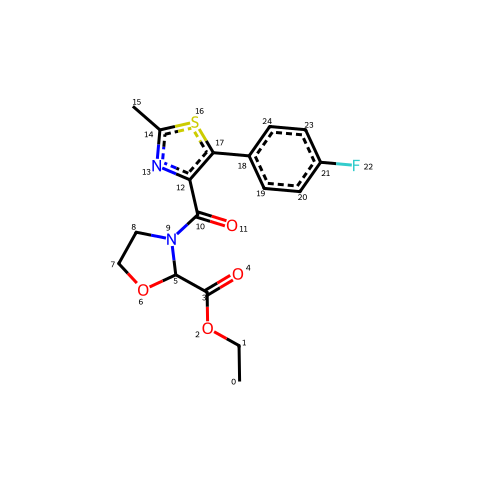 CCOC(=O)C1OCCN1C(=O)c1nc(C)sc1-c1ccc(F)cc1